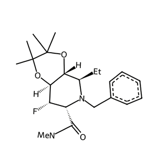 CC[C@@H]1[C@H]2OC(C)(C)C(C)(C)O[C@@H]2[C@@H](F)[C@@H](C(=O)NC)N1Cc1ccccc1